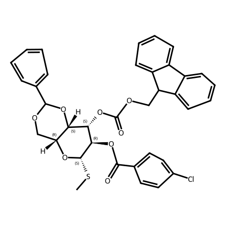 CS[C@@H]1O[C@@H]2COC(c3ccccc3)O[C@@H]2[C@H](OC(=O)OCC2c3ccccc3-c3ccccc32)[C@H]1OC(=O)c1ccc(Cl)cc1